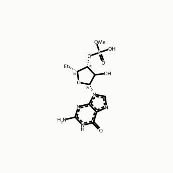 CC[C@H]1O[C@@H](n2cnc3c(=O)[nH]c(N)nc32)C(O)[C@H]1OP(=O)(O)OC